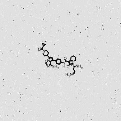 N/C=C\C=C(/N)n1c(=O)c(C(=O)Nc2ccc(-c3cc(C4CCN(C(=O)C5CC5)CC4)n4ncnc(N)c34)cc2)c2n1CCCC2